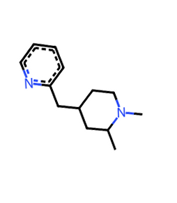 CC1CC(Cc2ccccn2)CCN1C